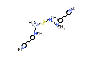 CC[n+]1ccc(/C=C/c2ccc(N(C)CCCN(C)CCSSCCN(C)CCCN(C)c3ccc(/C=C/c4cc[n+](CC)cc4)cc3)cc2)cc1